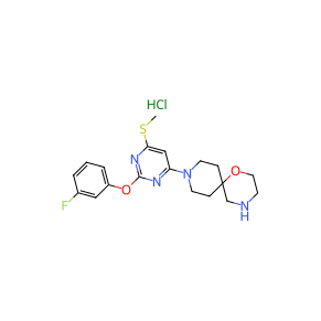 CSc1cc(N2CCC3(CC2)CNCCO3)nc(Oc2cccc(F)c2)n1.Cl